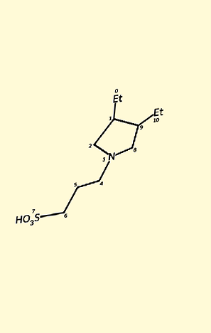 CCC1CN(CCCS(=O)(=O)O)CC1CC